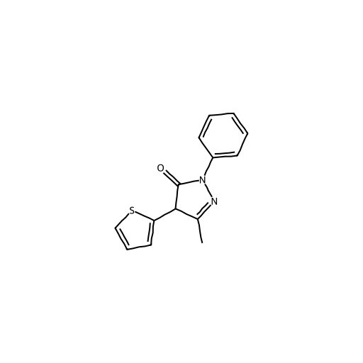 CC1=NN(c2ccccc2)C(=O)C1c1cccs1